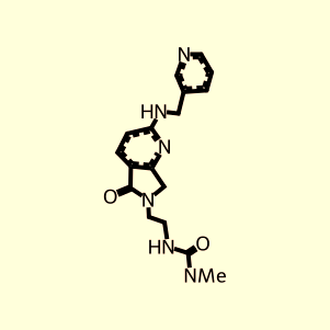 CNC(=O)NCCN1Cc2nc(NCc3cccnc3)ccc2C1=O